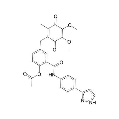 COC1=C(OC)C(=O)C(Cc2ccc(OC(C)=O)c(C(=O)Nc3ccc(-c4cc[nH]n4)cc3)c2)=C(C)C1=O